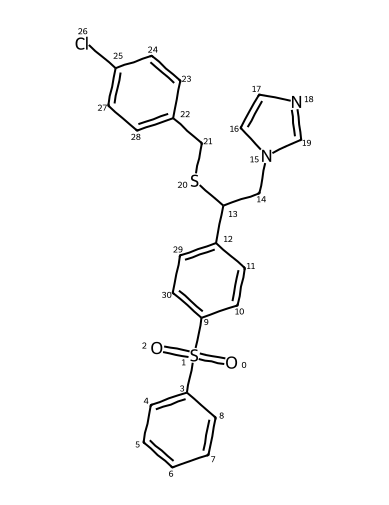 O=S(=O)(c1ccccc1)c1ccc(C(Cn2ccnc2)SCc2ccc(Cl)cc2)cc1